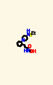 CCSNC1CCN(c2ccccc2/C=C/C(=O)NO)CC1